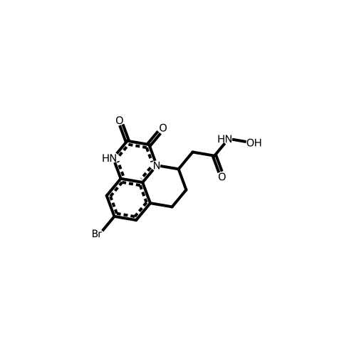 O=C(CC1CCc2cc(Br)cc3[nH]c(=O)c(=O)n1c23)NO